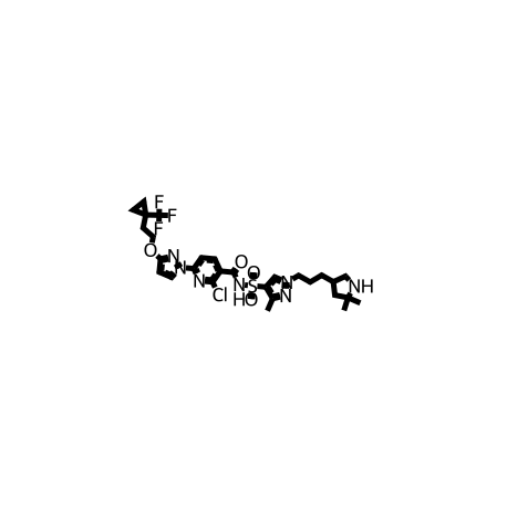 Cc1nn(CCCC2CNC(C)(C)C2)cc1S(=O)(=O)NC(=O)c1ccc(-n2ccc(OCCC3(C(F)(F)F)CC3)n2)nc1Cl